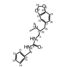 CN(C)[C@H](CNC(=O)NCc1ccccc1)Cc1ccc2c(c1)OCO2